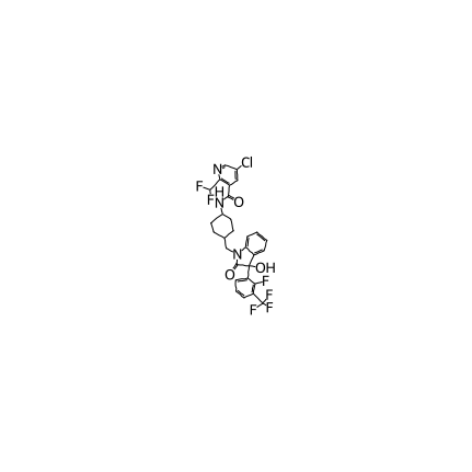 O=C(NC1CCC(CN2C(=O)C(O)(c3cccc(C(F)(F)F)c3F)c3ccccc32)CC1)c1cc(Cl)cnc1C(F)F